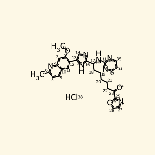 COc1cc2nc(C)ccc2cc1-c1cnc(C(CCCCCC(=O)c2ncco2)Nc2ncccn2)[nH]1.Cl